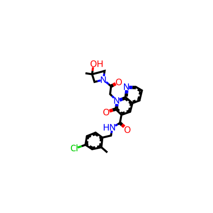 Cc1cc(Cl)ccc1CNC(=O)c1cc2cccnc2n(CC(=O)N2CC(C)(O)C2)c1=O